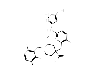 CC[C@@H]1CC(Cc2nc(Nc3cc(C)[nH]n3)ccc2F)(C(=O)O)CCN1Cc1c(F)ccc(Cl)c1F